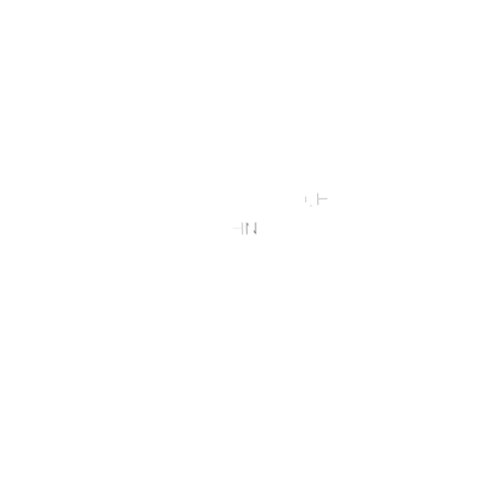 C[C@@H](CC1CCCCC1)NCc1[c]cccc1